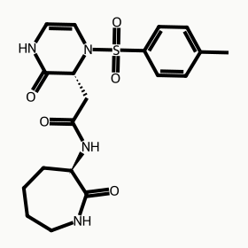 Cc1ccc(S(=O)(=O)N2C=CNC(=O)[C@H]2CC(=O)N[C@@H]2CCCCNC2=O)cc1